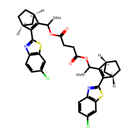 CNC(OC(=O)CCC(=O)OC(NC)C1=C(c2nc3ccc(Cl)cc3s2)[C@H]2CC[C@@H]1C2)C1=C(c2nc3ccc(Cl)cc3s2)[C@H]2CC[C@@H]1C2